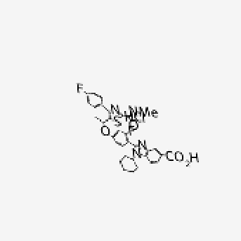 CNC(=O)c1nc(-c2ccc(F)cc2)c(C(C)Oc2ccc(-c3nc4cc(C(=O)O)ccc4n3C3CCCCC3)c(F)c2)s1.Cl